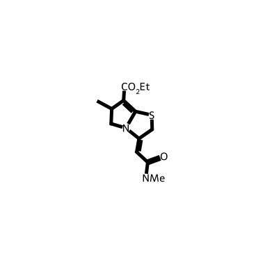 CCOC(=O)C1=C2SC/C(=C\C(=O)NC)N2CC1C